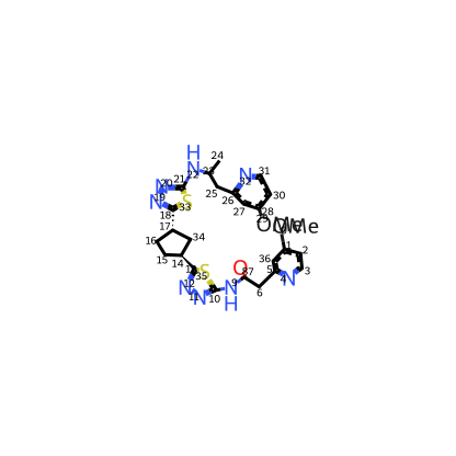 COc1ccnc(CC(=O)Nc2nnc([C@H]3CC[C@H](c4nnc(NC(C)Cc5cc(OC)ccn5)s4)C3)s2)c1